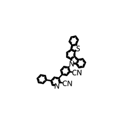 N#Cc1cc(-c2cc(-c3ccccc3)cnc2C#N)ccc1-n1c2ccccc2c2c3sc4ccccc4c3ccc21